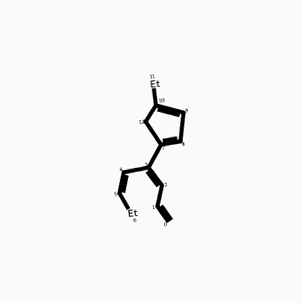 C=C/C=C(\C=C/CC)C1=CC=C(CC)C1